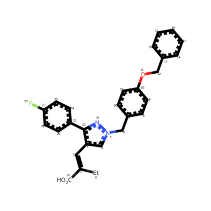 CCC(=Cc1cn(Cc2ccc(OCc3ccccc3)cc2)nc1-c1ccc(F)cc1)C(=O)O